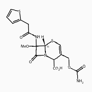 COC1(NC(=O)Cc2cccs2)C(=O)N2C(C(=O)O)C(COC(N)=O)=CS[C@H]21